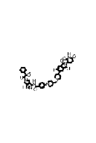 COC(C(=O)N1Cc2[nH]nc(NC(=O)c3ccc(N4CCC(CN5CCC(c6cc7c(cc6F)C(=O)N(C6CCC(=O)NC6=O)C7=O)CC5)CC4)cc3)c2C1)c1ccccc1